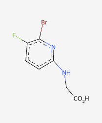 O=C(O)CNc1ccc(F)c(Br)n1